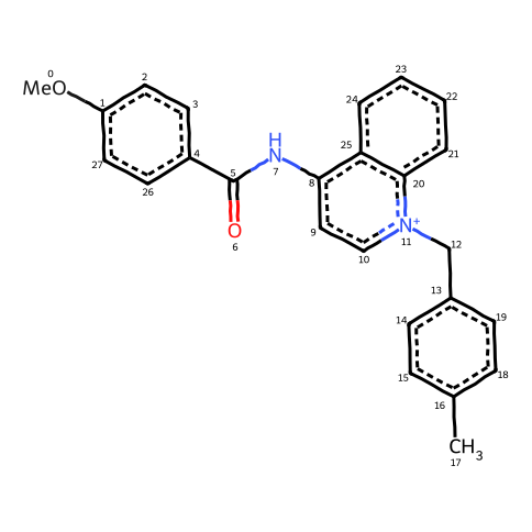 COc1ccc(C(=O)Nc2cc[n+](Cc3ccc(C)cc3)c3ccccc23)cc1